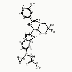 CCc1cc(C(=O)N[C@H](c2cn3ccc([C@@H](NC(=O)CC(C)C)C4CC4)nc3n2)C2CCC(F)(F)CC2)ccn1